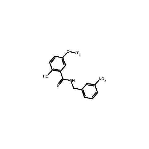 O=[N+]([O-])c1cccc(CNC(=S)c2cc(OC(F)(F)F)ccc2O)c1